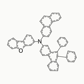 c1ccc(-c2c(-c3ccccc3)c3cc(N(c4ccc5c(ccc6ccccc65)c4)c4ccc5c(c4)oc4ccccc45)ccc3c3ccccc23)cc1